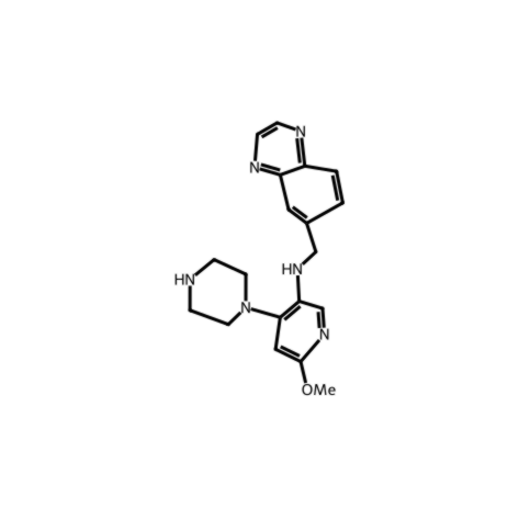 COc1cc(N2CCNCC2)c(NCc2ccc3nccnc3c2)cn1